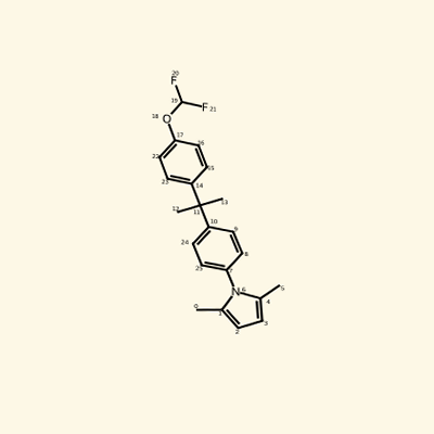 Cc1ccc(C)n1-c1ccc(C(C)(C)c2ccc(OC(F)F)cc2)cc1